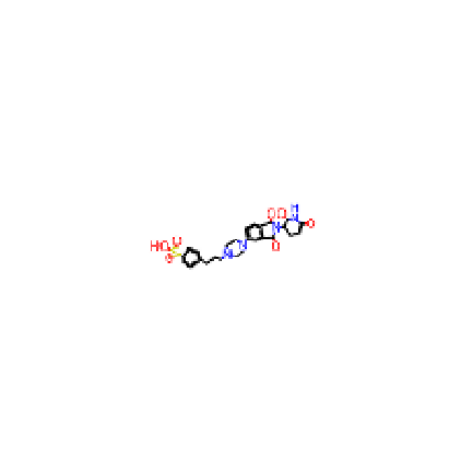 O=C1CCC(N2C(=O)c3ccc(N4CCN(CCCc5ccc(S(=O)(=O)O)cc5)CC4)cc3C2=O)C(=O)N1